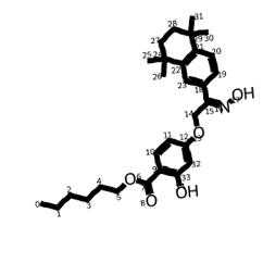 CCCCCCOC(=O)c1ccc(OC/C(=N/O)c2ccc3c(c2)C(C)(C)CCC3(C)C)cc1O